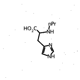 CCCNC(Cc1c[nH]cn1)C(=O)O